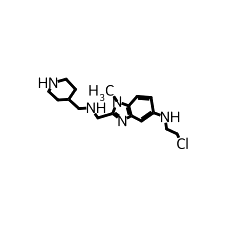 Cn1c(CNCC2CCNCC2)nc2cc(NCCCl)ccc21